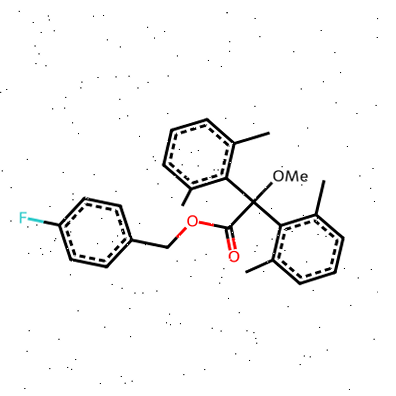 COC(C(=O)OCc1ccc(F)cc1)(c1c(C)cccc1C)c1c(C)cccc1C